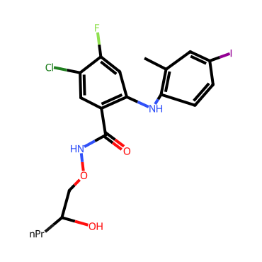 CCCC(O)CONC(=O)c1cc(Cl)c(F)cc1Nc1ccc(I)cc1C